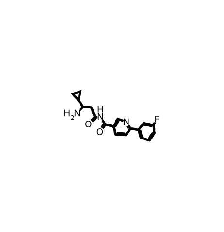 NC(CC(=O)NC(=O)c1ccc(-c2cccc(F)c2)nc1)C1CC1